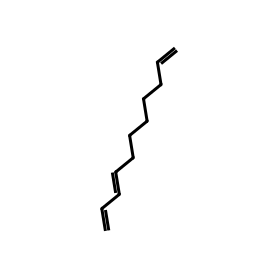 C=CC=CCCCCCC=C